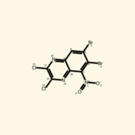 O=[N+]([O-])c1c(Br)c(Br)cc2nc(Cl)c(Cl)nc12